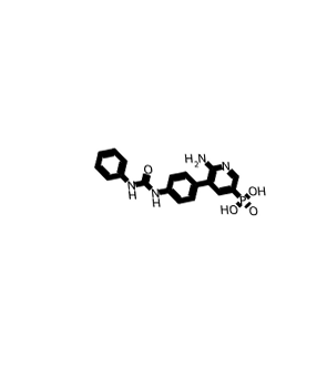 Nc1ncc(P(=O)(O)O)cc1-c1ccc(NC(=O)Nc2ccccc2)cc1